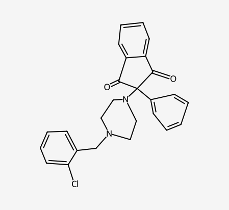 O=C1c2ccccc2C(=O)C1(c1ccccc1)N1CCN(Cc2ccccc2Cl)CC1